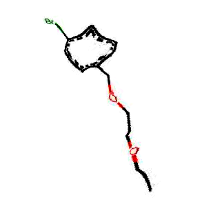 CCOCCOCc1ccc(Br)cc1